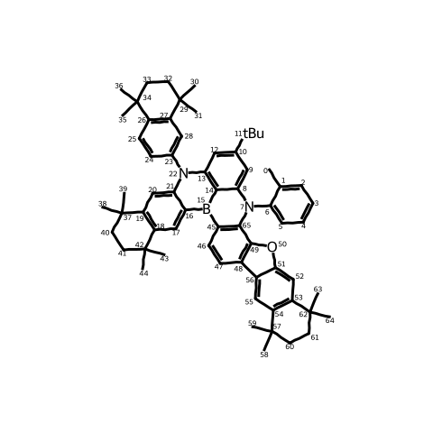 Cc1ccccc1N1c2cc(C(C)(C)C)cc3c2B(c2cc4c(cc2N3c2ccc3c(c2)C(C)(C)CCC3(C)C)C(C)(C)CCC4(C)C)c2ccc3c(oc4cc5c(cc43)C(C)(C)CCC5(C)C)c21